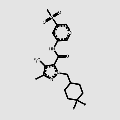 Cc1nn(CC2CCC(F)(F)CC2)c(C(=O)Nc2cncc(S(C)(=O)=O)c2)c1C(F)(F)F